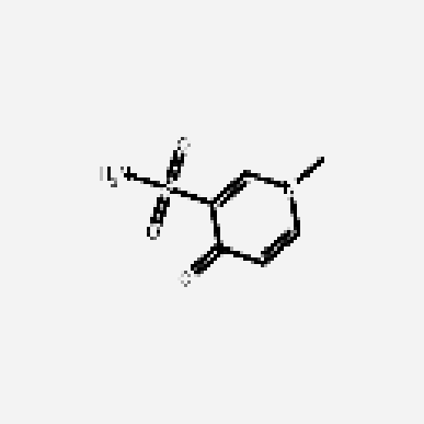 Cn1ccc(=O)c(S(N)(=O)=O)c1